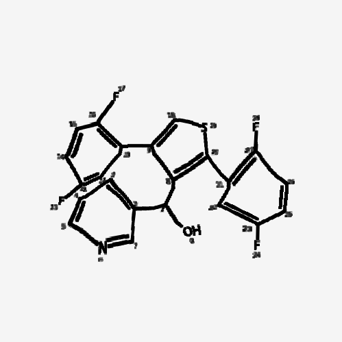 OC(c1cccnc1)c1c(-c2cc(F)ccc2F)csc1-c1cc(F)ccc1F